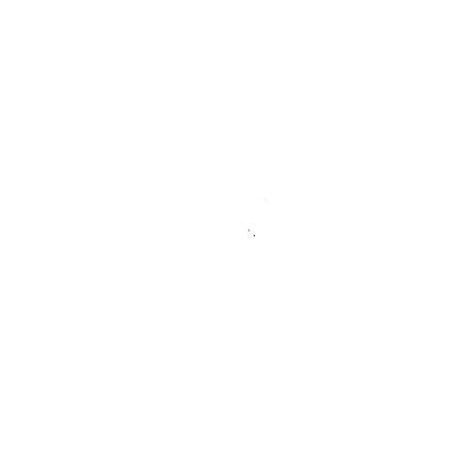 CCCCCCCCC[n+]1ccc(CCCCC)cc1